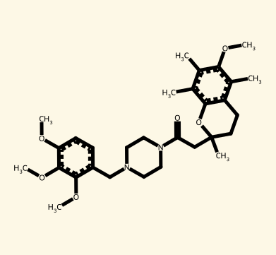 COc1ccc(CN2CCN(C(=O)CC3(C)CCc4c(C)c(OC)c(C)c(C)c4O3)CC2)c(OC)c1OC